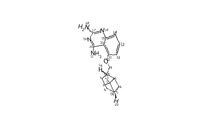 CC1(C)C2C[C@@H]1CC[C@@H]2COc1cccc2nc(N)nc(N)c12